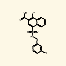 O=C(O)c1cc(S(=O)(=O)NCc2cccc(Cl)c2)c2ccccc2c1O